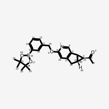 CC(=O)[C@@H]1C2c3cnc(OCc4cccc(B5OC(C)(C)C(C)(C)O5)c4)cc3C[C@H]21